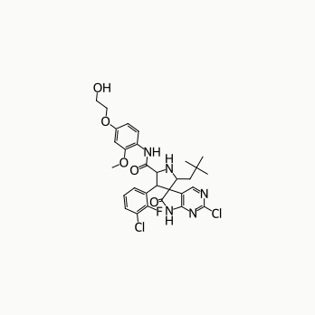 COc1cc(OCCO)ccc1NC(=O)C1NC(CC(C)(C)C)C2(C(=O)Nc3nc(Cl)ncc32)C1c1cccc(Cl)c1F